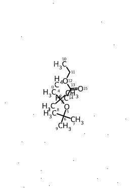 C.CC(C)(C)OC(C)(C)C.CCOC(C)=O